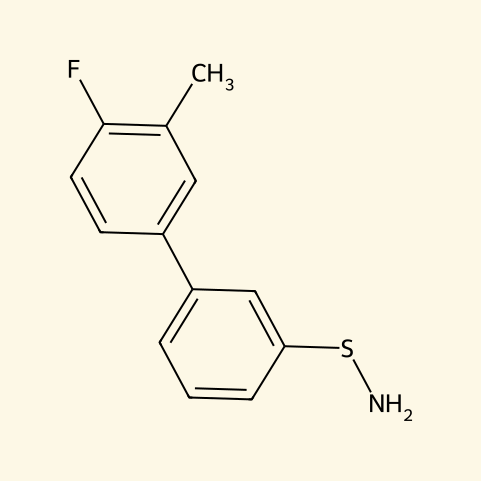 Cc1cc(-c2cccc(SN)c2)ccc1F